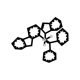 [Cl][Hf]([Cl])(=[C](c1ccccc1)c1ccccc1)([c]1cccc2c1Cc1ccccc1-2)[CH]1C=Cc2ccccc21